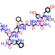 CNC(=N)NCCC[C@H](NC(=O)[C@H](CC1CC1)NC(=O)CNC(=O)[C@H](CC1CCCCC1)NC(=O)CNC(=O)[C@H](CNC(N)=O)NC(=O)[C@@H]1C[C@@H](O)CN1C(=O)[C@@H](Cc1ccc(O)cc1)NC(C)=O)C(=O)N[C@@H](Cc1c[nH]c2ccccc12)C(N)=O